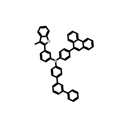 Cc1c(-c2cccc(N(c3ccc(-c4cccc(-c5ccccc5)c4)cc3)c3ccc(-c4cc5ccccc5c5ccccc45)cc3)c2)oc2ccccc12